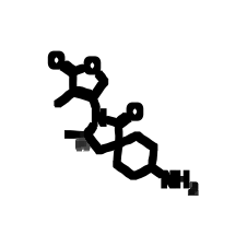 CC1=C(N2C(=O)C3(CCC(N)CC3)C[C@H]2C)COC1=O